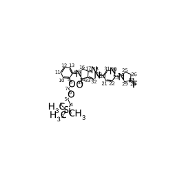 C[Si](C)(C)CCOCOc1ccccc1N1Cc2nn(-c3ccc(N4CC[C@@H](F)C4)nc3)cc2C1=O